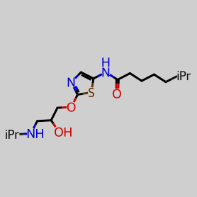 CC(C)CCCCC(=O)Nc1cnc(OCC(O)CNC(C)C)s1